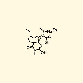 CCCC(C)C1(CC)C(=O)N=C(O)NC1=O.CCOC(=S)S.[NaH].[Zn]